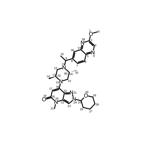 COc1cnc2ccc(C(C)N3C[C@H](C)N(c4cc(=O)n(C)c5cn(C6CCCCO6)nc45)C[C@H]3C)cc2n1